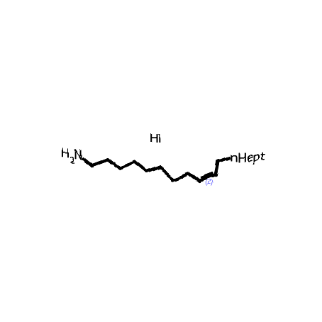 CCCCCCCC/C=C\CCCCCCCCN.I